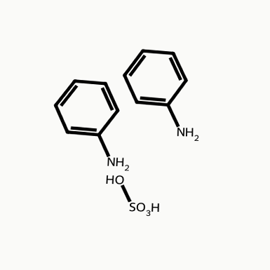 Nc1ccccc1.Nc1ccccc1.O=S(=O)(O)O